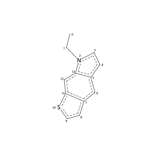 CCn1ccc2cc3ccsc3cc21